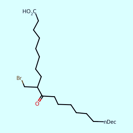 CCCCCCCCCCCCCCCCC(=O)C(CBr)CCCCCCCC(=O)O